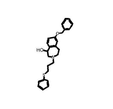 OC1CN(CCCSc2ccccc2)CCc2cc(OCc3ccccc3)ccc21